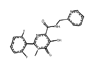 Cn1c(-c2c(F)cccc2F)nc(C(=O)NCc2ccccn2)c(O)c1=O